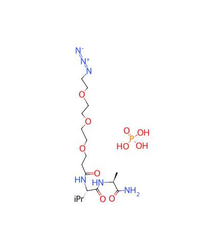 CC(C)[C@H](NC(=O)CCOCCOCCOCCN=[N+]=[N-])C(=O)N[C@@H](C)C(N)=O.O=P(O)(O)O